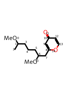 COC(C)CCCC(Cc1cc(=O)cco1)OC